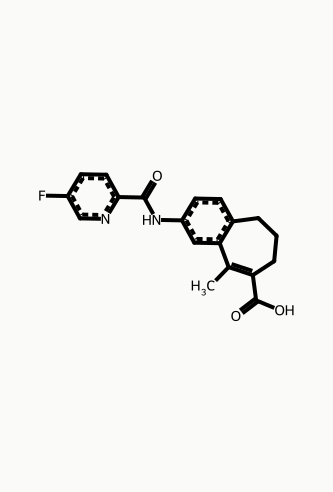 CC1=C(C(=O)O)CCCc2ccc(NC(=O)c3ccc(F)cn3)cc21